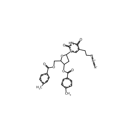 Cc1ccc(C(=O)OCC2OC(n3cc(CCN=[N+]=[N-])c(=O)[nH]c3=O)CC2OC(=O)c2ccc(C)cc2)cc1